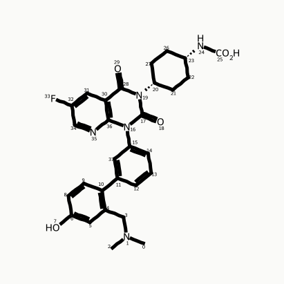 CN(C)Cc1cc(O)ccc1-c1cccc(-n2c(=O)n([C@H]3CC[C@@H](NC(=O)O)CC3)c(=O)c3cc(F)cnc32)c1